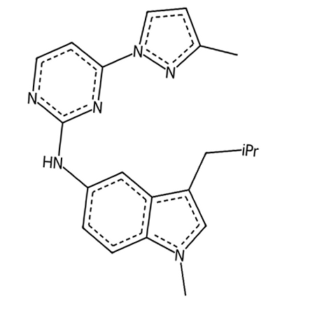 Cc1ccn(-c2ccnc(Nc3ccc4c(c3)c(CC(C)C)cn4C)n2)n1